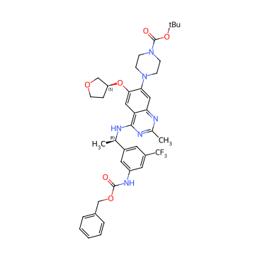 Cc1nc(N[C@H](C)c2cc(NC(=O)OCc3ccccc3)cc(C(F)(F)F)c2)c2cc(O[C@H]3CCOC3)c(N3CCN(C(=O)OC(C)(C)C)CC3)cc2n1